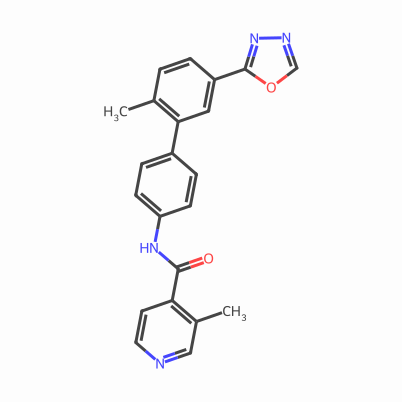 Cc1cnccc1C(=O)Nc1ccc(-c2cc(-c3nnco3)ccc2C)cc1